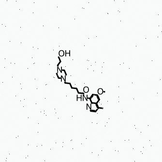 COc1cc(NC(=O)CCCCCN2CCN(CCCO)CC2)c2nccc(C)c2c1